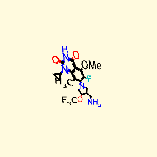 COc1c(F)c(N2CC(CN)C(OC(F)(F)F)C2)c(C)c2c1c(=O)[nH]c(=O)n2C1CC1